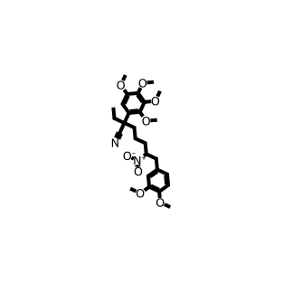 CCC(C#N)(CCCC(Cc1ccc(OC)c(OC)c1)[N+](=O)[O-])c1cc(OC)c(OC)c(OC)c1OC